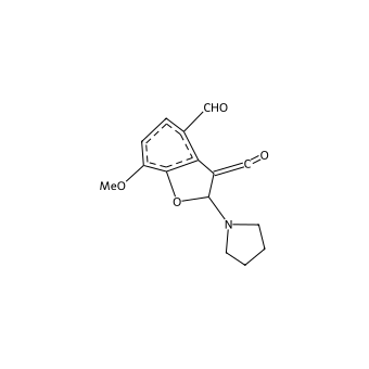 COc1ccc(C=O)c2c1OC(N1CCCC1)C2=C=O